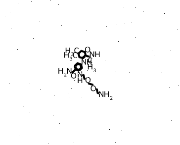 CC(=N)C1=C(Nc2ccc(C(N)=O)c(NCCOCCOCCN)c2)CC(C)(C)CC1=O